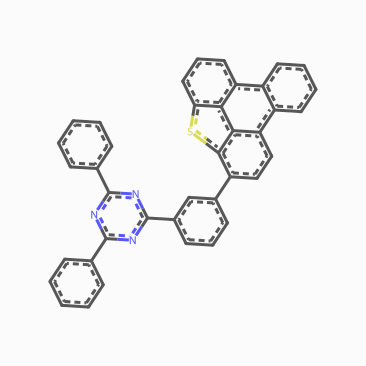 c1ccc(-c2nc(-c3ccccc3)nc(-c3cccc(-c4ccc5c6ccccc6c6cccc7sc4c5c76)c3)n2)cc1